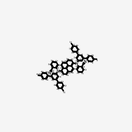 Cc1ccc(-c2cc(-c3ccc(C)cc3)cc(N(c3ccccc3C#N)c3ccc4ccc5c(N(c6cc(-c7ccc(C)cc7)cc(-c7ccc(C)cc7)c6)c6ccccc6C#N)ccc6ccc3c4c65)c2)cc1